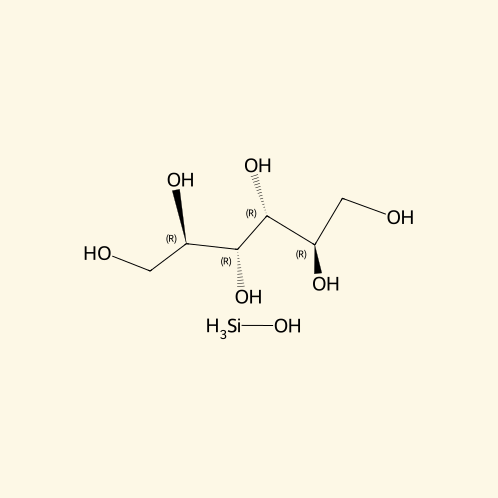 OC[C@@H](O)[C@@H](O)[C@H](O)[C@H](O)CO.O[SiH3]